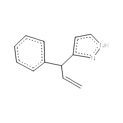 C=CC(c1ccccc1)c1cc[nH]n1